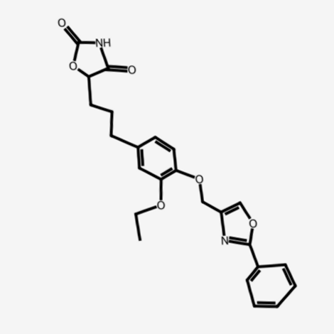 CCOc1cc(CCCC2OC(=O)NC2=O)ccc1OCc1coc(-c2ccccc2)n1